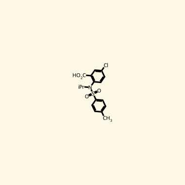 Cc1ccc(S(=O)(=O)N(c2ccc(Cl)cc2C(=O)O)C(C)C)cc1